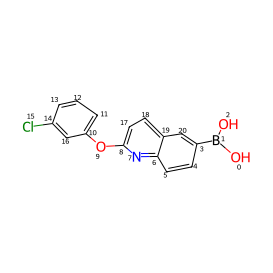 OB(O)c1ccc2nc(Oc3cccc(Cl)c3)ccc2c1